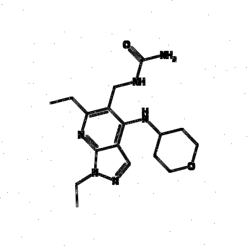 CCc1nc2c(cnn2CC)c(NC2CCOCC2)c1CNC(N)=O